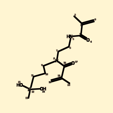 C=C(C)C(=O)NCCN(CCC[Si](C)(O)O)C(=O)C(=C)C